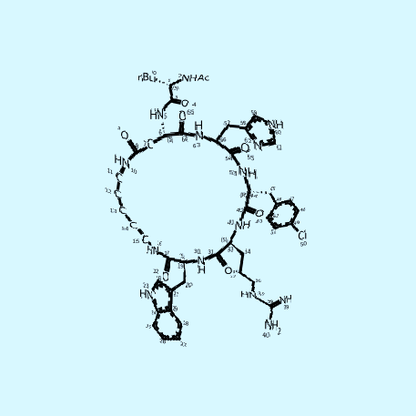 CCCC[C@H](NC(C)=O)C(=O)N[C@H]1CC(=O)NCCCCCNC(=O)[C@H](Cc2c[nH]c3ccccc23)NC(=O)[C@H](CCCNC(=N)N)NC(=O)[C@@H](Cc2ccc(Cl)cc2)NC(=O)C(Cc2c[nH]cn2)NC1=O